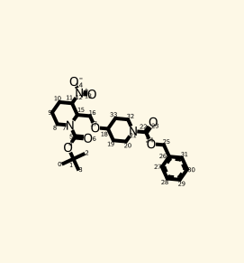 CC(C)(C)OC(=O)N1CCCC([N+](=O)[O-])C1COC1CCN(C(=O)OCc2ccccc2)CC1